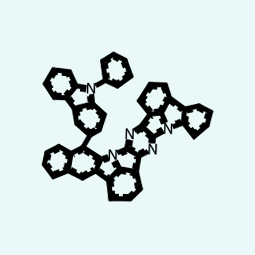 c1ccc(-n2c3ccccc3c3cc(-c4c5ccccc5cc5c6cccc7c8nc9c(nc8n(c45)c67)c4cccc5c6ccccc6n9c54)ccc32)cc1